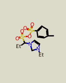 CCC(N1C=CN(CC)C1)S(=O)(=O)OS(=O)(=O)c1ccc(C)cc1